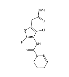 COC(=O)Cc1sc(F)c(NC(=S)N2CCCC=N2)c1Cl